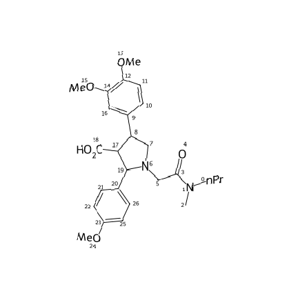 CCCN(C)C(=O)CN1CC(c2ccc(OC)c(OC)c2)C(C(=O)O)C1c1ccc(OC)cc1